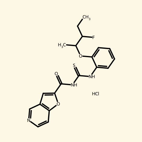 CCC(F)C(C)Oc1ccccc1NC(=S)NC(=O)c1cc2cnccc2o1.Cl